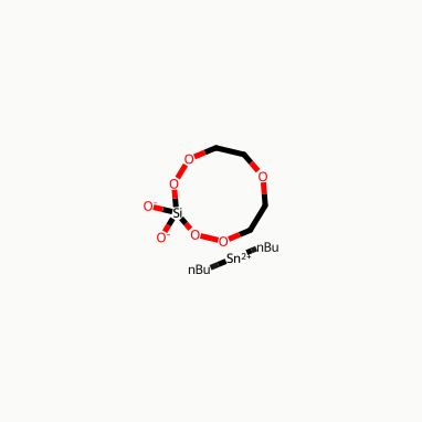 CCC[CH2][Sn+2][CH2]CCC.[O-][Si]1([O-])OOCCOCCOO1